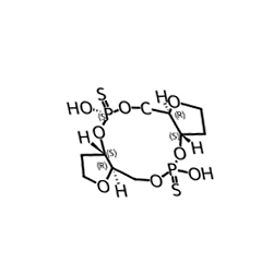 OP1(=S)OC[C@H]2OCC[C@@H]2O[P@@](O)(=S)OC[C@H]2OCC[C@@H]2O1